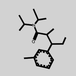 CCC(c1cccc(C)c1)C(C)C(=O)N(C(C)C)C(C)C